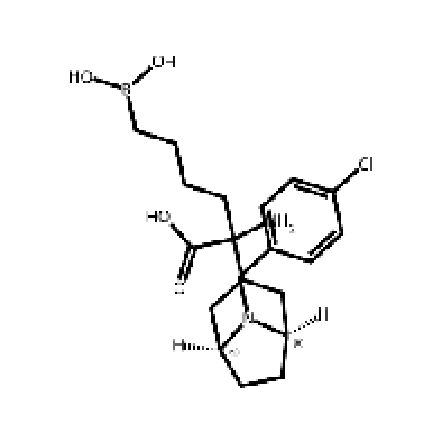 NC(CCCCB(O)O)(C(=O)O)C1C[C@H]2CC[C@@H](C1)N2Cc1ccc(Cl)cc1